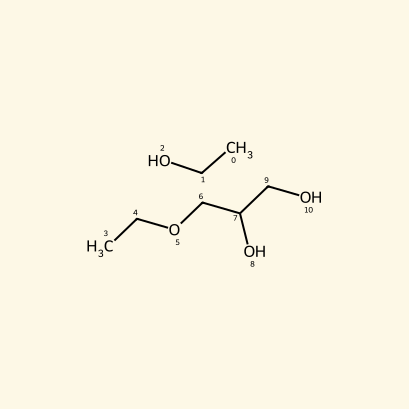 CCO.CCOCC(O)CO